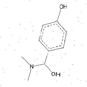 CN(C)C(O)c1ccc(O)cc1